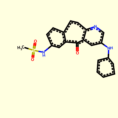 CS(=O)(=O)Nc1ccc2ccc3ncc(Nc4ccccc4)cc3c(=O)c2c1